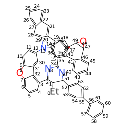 CCC1C(c2cccc3oc4ccc(-n5c6ccccc6c6cc7ccccc7cc65)cc4c23)=NC(c2cccc3c2-c2ccccc2C2OC32)=NC1c1ccc(-c2ccccc2)cc1